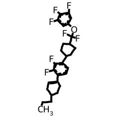 CCCC1CC=C(c2ccc(C3CCC(C(F)(F)Oc4cc(F)c(F)c(F)c4)CC3)c(F)c2F)CC1